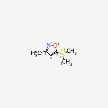 Cc1cc([SH](C)C)on1